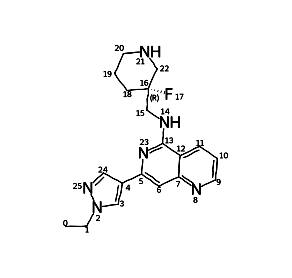 CCn1cc(-c2cc3ncccc3c(NC[C@@]3(F)CCCNC3)n2)cn1